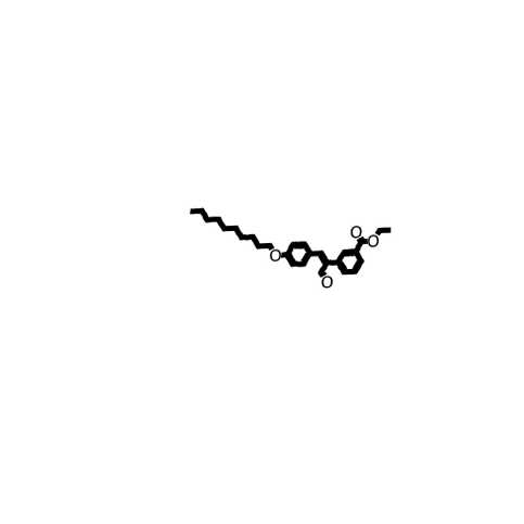 CCCCCCCCCCOc1ccc(/C=C(\C=O)c2cccc(C(=O)OCC)c2)cc1